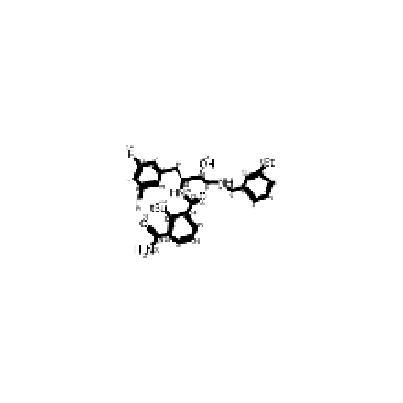 CCc1cccc(CNC[C@@H](O)[C@H](Cc2cc(F)cc(F)c2)NC(=O)c2cccc(C(N)=O)c2C(C)(C)C)c1